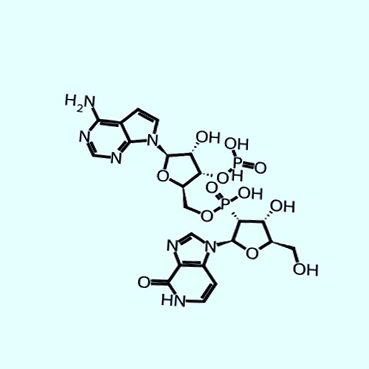 Nc1ncnc2c1ccn2[C@@H]1O[C@H](COP(=O)(O)[C@@H]2[C@H](O)[C@@H](CO)O[C@H]2n2cnc3c(=O)[nH]ccc32)[C@@H](O[PH](=O)O)[C@H]1O